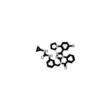 O=C(Nc1cccc(Cn2c(=O)c3ccccc3n3c(-c4cc(Br)ccc4N4CCCC4)nnc23)c1)NC1CC1